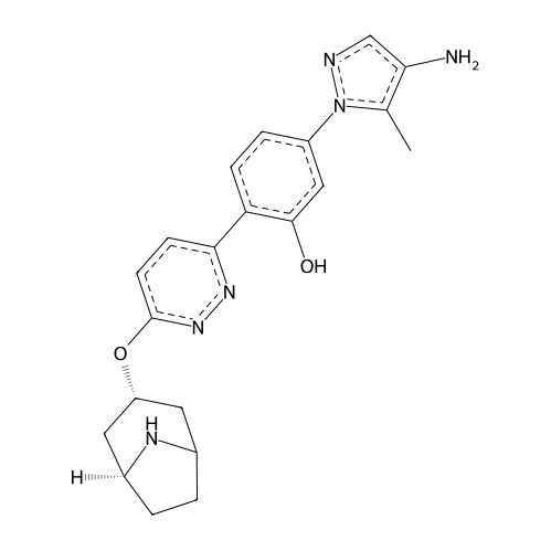 Cc1c(N)cnn1-c1ccc(-c2ccc(O[C@@H]3CC4CC[C@@H](C3)N4)nn2)c(O)c1